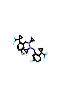 Cc1ccc(C2(C(F)F)CC2)c(CN(C2CC2)N(Cc2cc(F)ccc2C2(C(F)F)CC2)C2CC2)c1